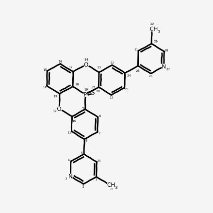 Cc1cncc(-c2ccc3c(c2)Oc2cccc4c2P3(=S)c2ccc(-c3cncc(C)c3)cc2O4)c1